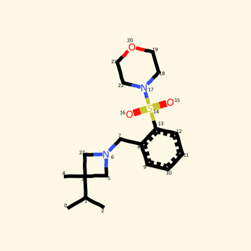 CC(C)C1(C)CN(Cc2ccccc2S(=O)(=O)N2CCOCC2)C1